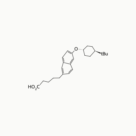 CC(C)(C)[C@H]1CC[C@H](Oc2ccc3cc(CCCCC(=O)O)ccc3c2)CC1